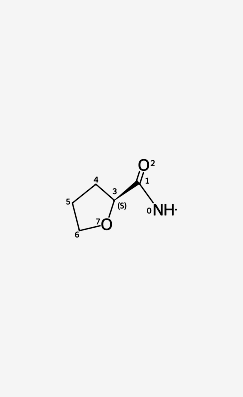 [NH]C(=O)[C@@H]1CCCO1